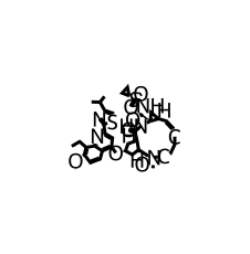 CCc1c(OC)ccc2c(O[C@@H]3C[C@H]4C(=O)N[C@]5(C(=O)NS(=O)(=O)C6CC6)C[C@H]5/C=C\CCCCN(C)C(=O)[C@@H]4C3)cc(-c3nc(C(C)C)cs3)nc12